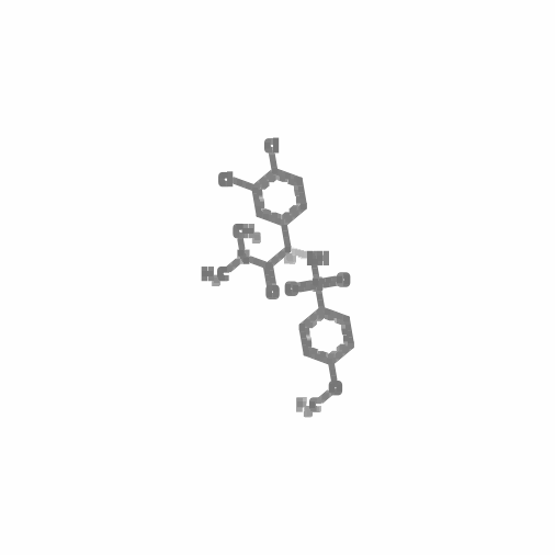 CN(C)C(=O)[C@@H](NS(=O)(=O)c1ccc(OC(F)(F)F)cc1)c1ccc(Cl)c(Cl)c1